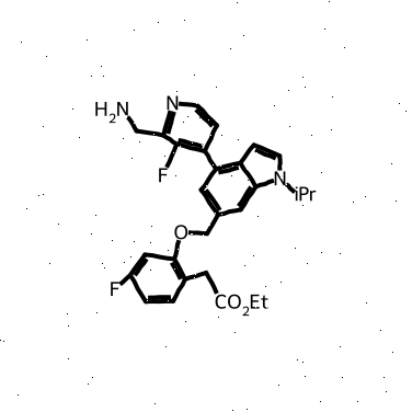 CCOC(=O)Cc1ccc(F)cc1OCc1cc(-c2ccnc(CN)c2F)c2ccn(C(C)C)c2c1